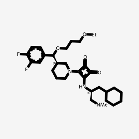 CCOCCCOC(c1ccc(F)c(F)c1)[C@@H]1CCCN(c2c(N[C@H](CNC)CC3CCCCC3)c(=O)c2=O)C1